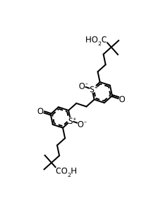 CC(C)(CCCc1cc(=O)cc(CCc2cc(=O)cc(CCCC(C)(C)C(=O)O)[s+]2[O-])[s+]1[O-])C(=O)O